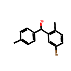 Cc1ccc(C(O)c2cc(Br)ccc2C)cc1